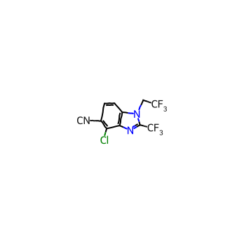 [C-]#[N+]c1ccc2c(nc(C(F)(F)F)n2CC(F)(F)F)c1Cl